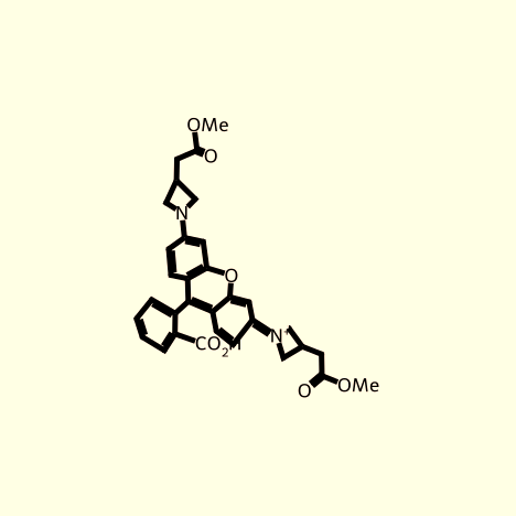 COC(=O)CC1CN(c2ccc3c(-c4ccccc4C(=O)O)c4ccc(=[N+]5CC(CC(=O)OC)C5)cc-4oc3c2)C1